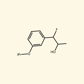 CC(C)Oc1cccc(C(F)C(C)O)c1